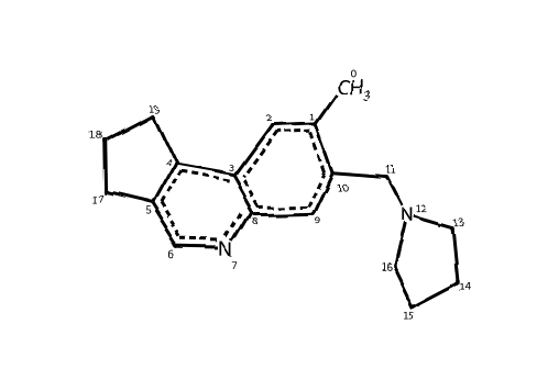 Cc1cc2c3c(cnc2cc1CN1CCCC1)CCC3